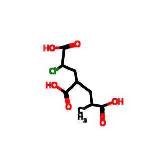 CC(CC(CC(Cl)C(=O)O)C(=O)O)C(=O)O